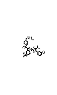 COc1cccc(-c2nc(-n3cc(C(=O)N4CCC(CN)CC4)c4cc(C(F)(F)F)ccc43)sc2C(C)C)c1